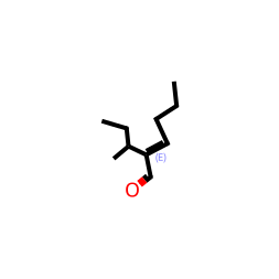 CCC/C=C(/C=O)C(C)CC